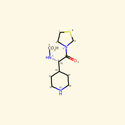 O=C(O)N[C@H](C(=O)N1CCSC1)C1CCNCC1